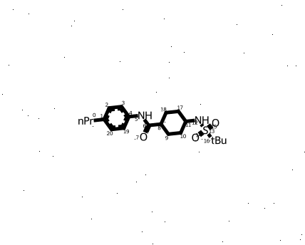 CCCc1ccc(NC(=O)C2CCC(NS(=O)(=O)C(C)(C)C)CC2)cc1